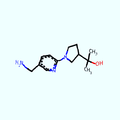 CC(C)(O)C1CCN(c2ccc(CN)cn2)C1